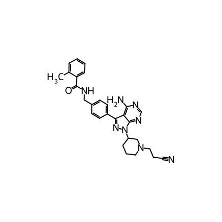 Cc1ccccc1C(=O)NCc1ccc(-c2nn(C3CCCN(CCC#N)C3)c3ncnc(N)c23)cc1